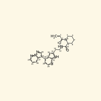 C=CC(=O)N1CCCCC1C(=O)NCCc1cc2c(-c3cnn4ncccc34)ccnc2[nH]1